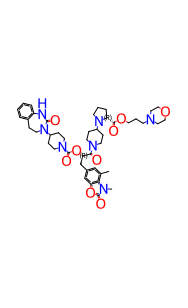 Cc1cc(C[C@@H](OC(=O)N2CCC(N3CCc4ccccc4NC3=O)CC2)C(=O)N2CCC(N3CCC[C@@H]3C(=O)OCCCN3CCOCC3)CC2)cc2oc(=O)n(C)c12